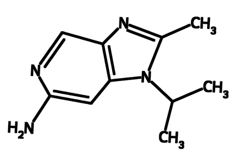 Cc1nc2cnc(N)cc2n1C(C)C